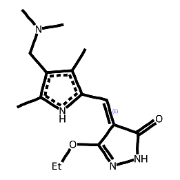 CCOC1=NNC(=O)/C1=C/c1[nH]c(C)c(CN(C)C)c1C